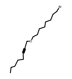 CCCCCC#CCO[CH]CCCCCCCBr